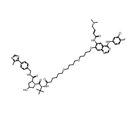 Cc1ncsc1-c1ccc(CNC(=O)C2CC(O)CN2C(=O)[C@@H](NC(=O)CCCCCOCCCCOCCCCOc2cc3ncnc(Nc4ccc(F)c(Cl)c4)c3cc2NC(=O)/C=C/CN(C)C)C(C)(C)C)cc1